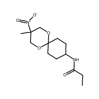 CCC(=O)NC1CCC2(CC1)OCC(C)([N+](=O)[O-])CO2